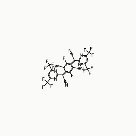 N#C/C(c1nc(C(F)(F)F)cc(C(F)(F)F)n1)=c1\c(F)c(C#N)/c(=C(/C#N)c2nc(C(F)(F)F)cc(C(F)(F)F)n2)c(F)c1C#N